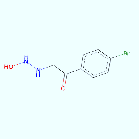 O=C(CNNO)c1ccc(Br)cc1